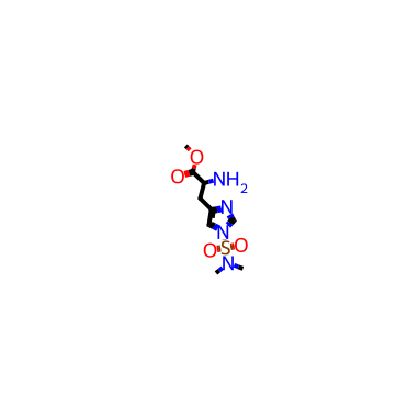 COC(=O)C(N)Cc1cn(S(=O)(=O)N(C)C)cn1